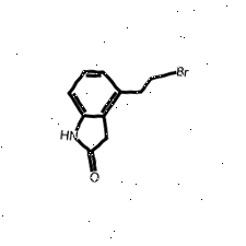 O=C1Cc2c(CCBr)cccc2N1